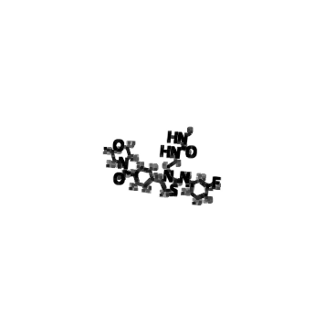 CNC(=O)NCCn1c(-c2ccc(C(=O)N3CCOCC3)cc2)csc1=Nc1cccc(F)c1